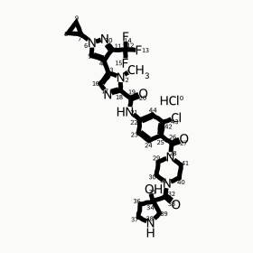 Cl.Cn1c(-c2cn(C3CC3)nc2C(F)(F)F)cnc1C(=O)Nc1ccc(C(=O)N2CCN(C(=O)C3(O)CCNC3)CC2)c(Cl)c1